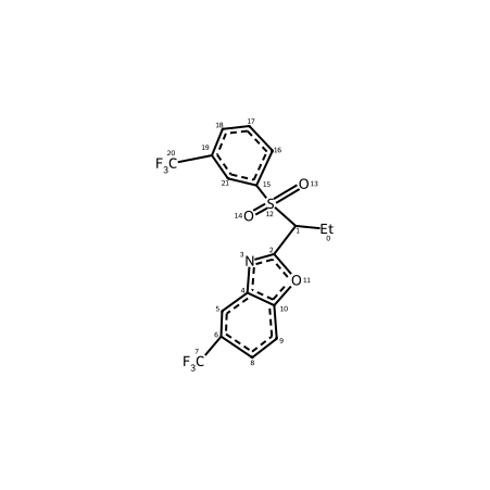 CCC(c1nc2cc(C(F)(F)F)ccc2o1)S(=O)(=O)c1cccc(C(F)(F)F)c1